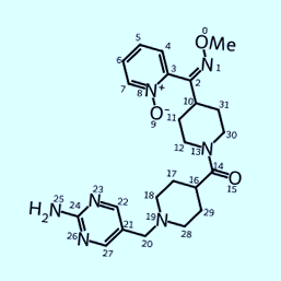 CO/N=C(\c1cccc[n+]1[O-])C1CCN(C(=O)C2CCN(Cc3cnc(N)nc3)CC2)CC1